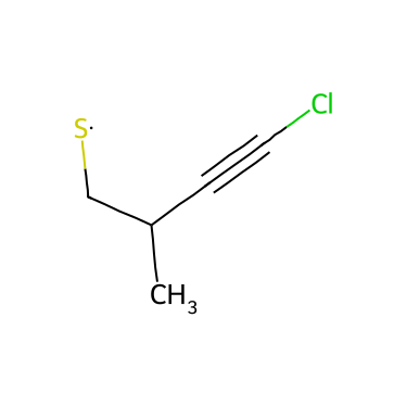 CC(C#CCl)C[S]